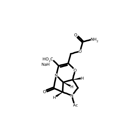 CC(=O)N1C[C@H]2OC(COC(N)=O)=C(C(=O)O)N3C(=O)[C@@H]1[C@@H]23.[NaH]